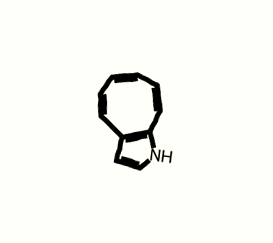 C1=CC=Cc2[nH]ccc2C=C1